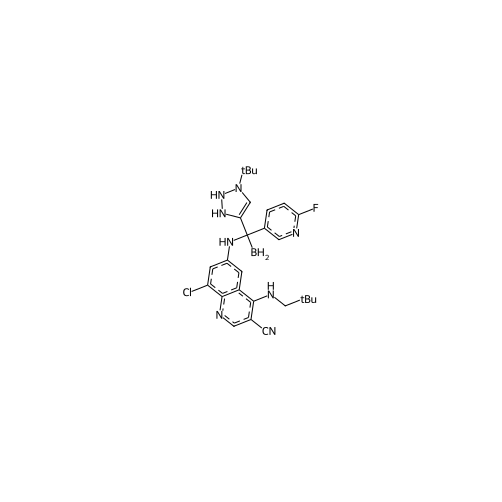 BC(Nc1cc(Cl)c2ncc(C#N)c(NCC(C)(C)C)c2c1)(C1=CN(C(C)(C)C)NN1)c1ccc(F)nc1